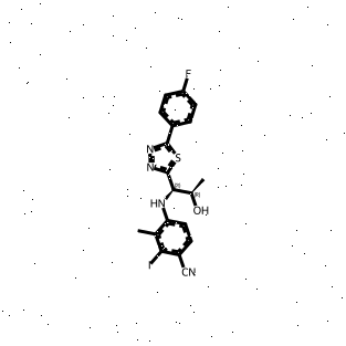 Cc1c(N[C@@H](c2nnc(-c3ccc(F)cc3)s2)[C@@H](C)O)ccc(C#N)c1I